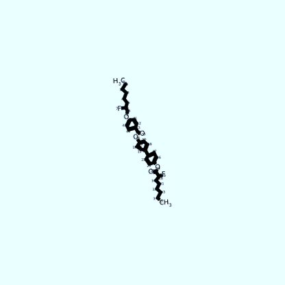 CCCCCCC(F)COc1ccc(C(=O)Oc2ccc(-c3ccc(OC(=O)C(F)CCCCCC)cc3)cc2)cc1